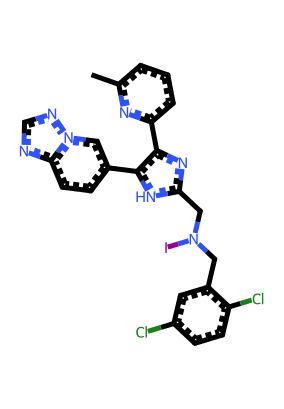 Cc1cccc(-c2nc(CN(I)Cc3cc(Cl)ccc3Cl)[nH]c2-c2ccc3ncnn3c2)n1